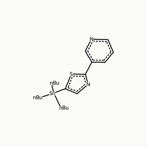 CCC[CH2][Sn]([CH2]CCC)([CH2]CCC)[c]1cnc(-c2cccnc2)s1